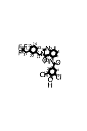 O=C(Nc1cccc2ncn(Cc3cccc(CC(F)(F)F)c3)c(=O)c12)c1cc(Cl)c(O)c(Cl)c1